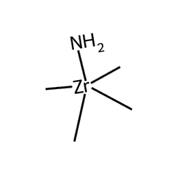 [CH3][Zr]([CH3])([CH3])([CH3])[NH2]